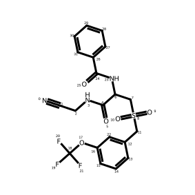 N#CCNC(=O)C(CS(=O)(=O)Cc1cccc(OC(F)(F)F)c1)NC(=O)c1ccccc1